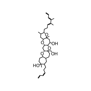 C=CC=C(C)/C(C)=C/CCC1OC2(C)CC(O)C3OC4(CO)CCC5CC(CC/C=C\C=C)C(C)(O)CCC5OC4CC3OC2CC1C